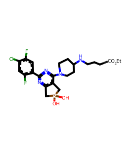 CCOC(=O)CCCNC1CCN(c2nc(-c3cc(F)c(Cl)cc3F)nc3c2CS(O)(O)C3)CC1